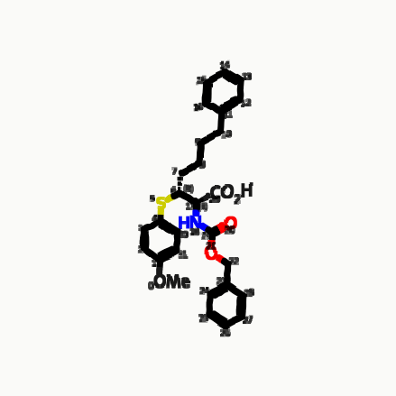 COc1ccc(S[C@H](CCCCc2ccccc2)[C@H](NC(=O)OCc2ccccc2)C(=O)O)cc1